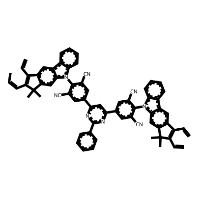 C=CC1=C(C=C)C(C)(C)c2cc3c(cc21)c1ccccc1n3-c1c(C#N)cc(-c2cc(-c3cc(C#N)c(-n4c5ccccc5c5cc6c(cc54)C(C)(C)C(/C=C\C)=C6C=C)c(C#N)c3)nc(-c3ccccc3)n2)cc1C#N